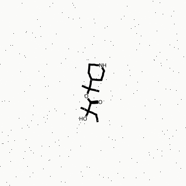 CCC(C)(O)C(=O)OC(C)(C)C1CCNCC1